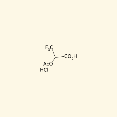 CC(=O)OC(C(=O)O)C(F)(F)F.Cl